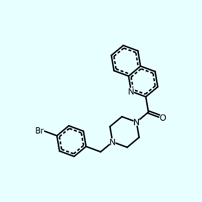 O=C(c1ccc2ccccc2n1)N1CCN(Cc2ccc(Br)cc2)CC1